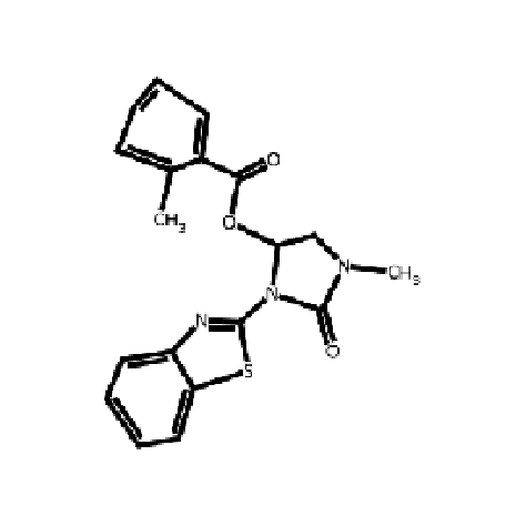 Cc1ccccc1C(=O)OC1CN(C)C(=O)N1c1nc2ccccc2s1